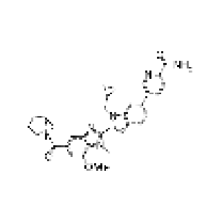 COc1cc(C(=O)N2CC3CCC2C3)cc2nc(-c3cc4ccc(-c5ccc(C(N)=O)nc5)cc4n3CC3CC3)n(C)c12